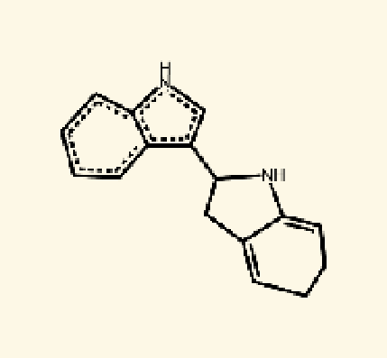 C1=C2CC(c3c[nH]c4ccccc34)NC2=CCC1